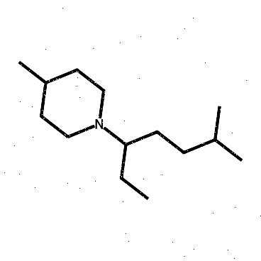 CCC(CCC(C)C)N1CCC(C)CC1